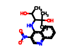 CC(O)C(Nc1c([N+](=O)[O-])cnc2ccccc12)C(C)(C)O